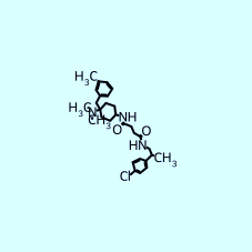 Cc1cccc(CC2(N(C)C)CCC(NC(=O)CCC(=O)NCC(C)c3ccc(Cl)cc3)CC2)c1